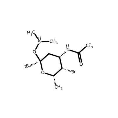 C[C@@H]1O[C@](O[SiH](C)C)(C(C)(C)C)C[C@H](NC(=O)C(F)(F)F)[C@@H]1Br